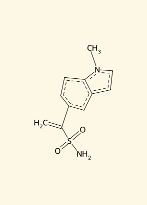 C=C(c1ccc2c(ccn2C)c1)S(N)(=O)=O